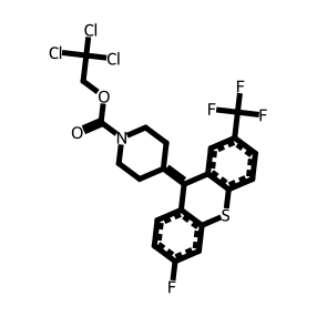 O=C(OCC(Cl)(Cl)Cl)N1CCC(=C2c3ccc(F)cc3Sc3ccc(C(F)(F)F)cc32)CC1